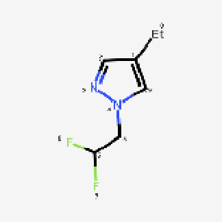 CCc1[c]nn(CC(F)F)[c]1